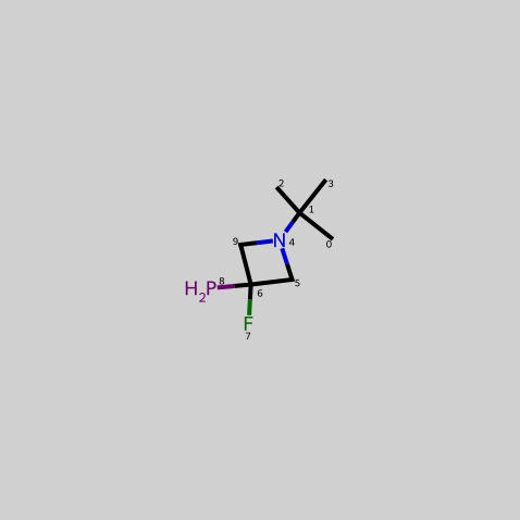 CC(C)(C)N1CC(F)(P)C1